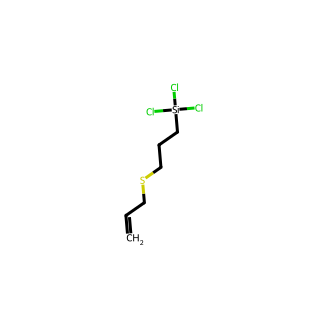 C=CCSCCC[Si](Cl)(Cl)Cl